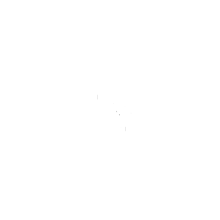 C[N+](C)(C)c1ccccc1F.[Cl-]